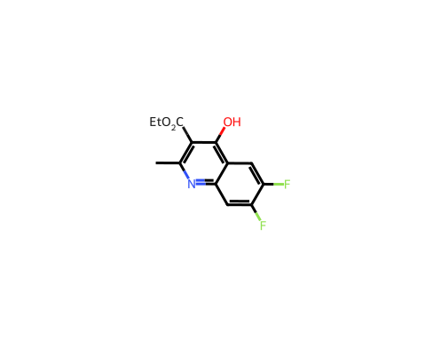 CCOC(=O)c1c(C)nc2cc(F)c(F)cc2c1O